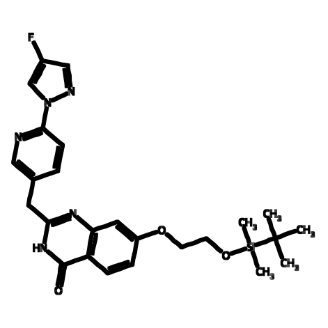 CC(C)(C)[Si](C)(C)OCCOc1ccc2c(=O)[nH]c(Cc3ccc(-n4cc(F)cn4)nc3)nc2c1